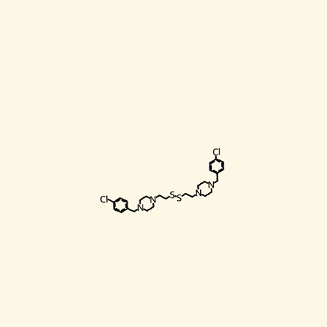 Clc1ccc(CN2CCN(CCSSCCN3CCN(Cc4ccc(Cl)cc4)CC3)CC2)cc1